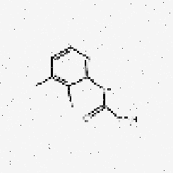 Cc1cccc(NC(=O)C(=O)O)c1C